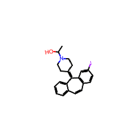 CC(O)N1CCC(=C2c3ccccc3C=Cc3ccc(I)cc32)CC1